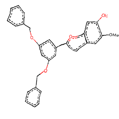 COc1cc2cc(-c3cc(OCc4ccccc4)cc(OCc4ccccc4)c3)oc2cc1O